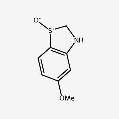 COc1ccc2c(c1)NC[S+]2[O-]